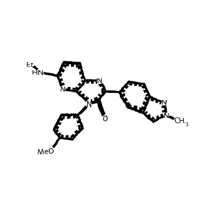 CCNc1ccc2nc(-c3ccc4nn(C)cc4c3)c(=O)n(-c3ccc(OC)cc3)c2n1